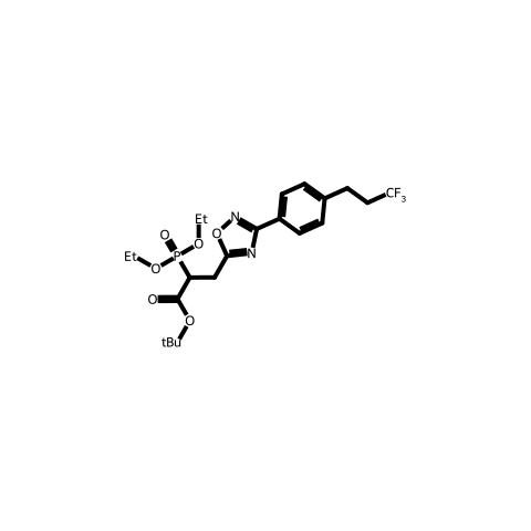 CCOP(=O)(OCC)C(Cc1nc(-c2ccc(CCC(F)(F)F)cc2)no1)C(=O)OC(C)(C)C